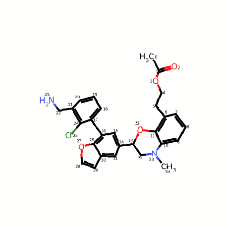 CC(=O)OCCc1cccc2c1OC(c1cc(-c3cccc(CN)c3Cl)c3occc3c1)CN2C